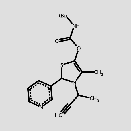 C#CC(C)N1C(C)=C(OC(=O)NC(C)(C)C)SC1c1cccnc1